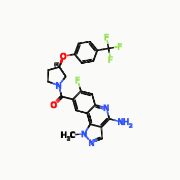 Cn1ncc2c(N)nc3cc(F)c(C(=O)N4CC[C@@H](Oc5ccc(C(F)(F)F)cc5)C4)cc3c21